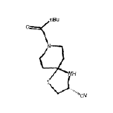 CC(C)(C)C(=O)N1CCC2(CC1)N[C@H](C#N)CS2